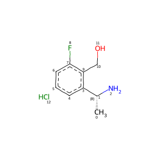 C[C@@H](N)c1cccc(F)c1CO.Cl